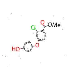 COC(=O)c1ccc(Oc2ccc(O)cc2)cc1Cl